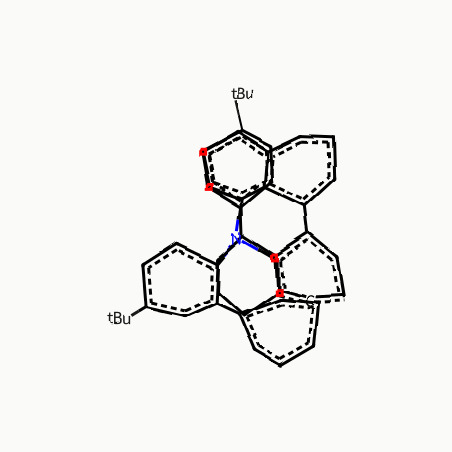 CC(C)(C)c1ccc(N(c2ccc(C(C)(C)C)cc2-c2ccccc2)c2ccccc2-c2cccc3cccc(C4CCCCC4)c23)cc1